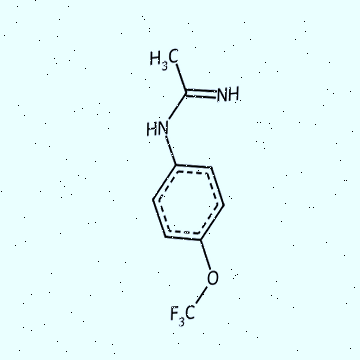 CC(=N)Nc1ccc(OC(F)(F)F)cc1